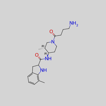 Cc1cccc2c1NC(C(=O)N[C@@H]1CCN(C(=O)CCCN)C[C@H]1C)C2